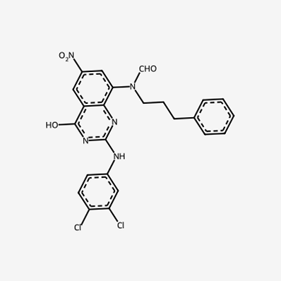 O=CN(CCCc1ccccc1)c1cc([N+](=O)[O-])cc2c(O)nc(Nc3ccc(Cl)c(Cl)c3)nc12